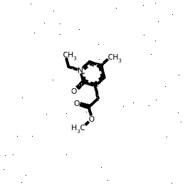 CCn1cc(C)cc(CC(=O)OC)c1=O